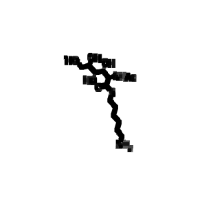 CC(=O)N[C@@H](C(=O)SCCCCCCN)[C@@H](O)[C@H](O)[C@H](O)CO